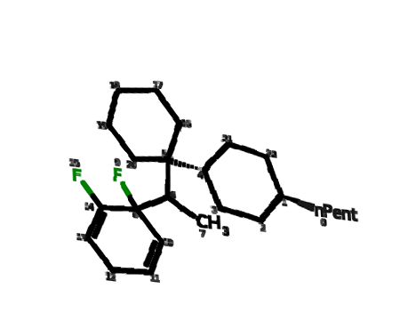 CCCCC[C@H]1CC[C@H](C2(C(C)C3(F)C=CCC=C3F)CCCCC2)CC1